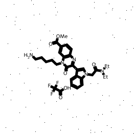 CCN(CC)C(=O)Cn1cc(-c2nc3ccc(C(=O)OC)cc3n(CCCCCN)c2=O)c2ccccc21.O=C(O)C(F)(F)F